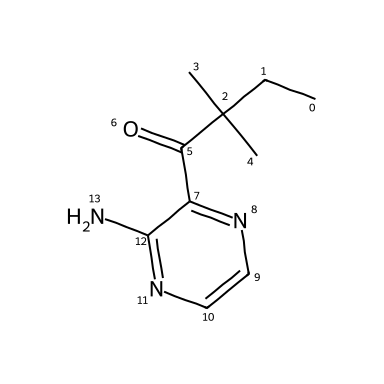 CCC(C)(C)C(=O)c1nccnc1N